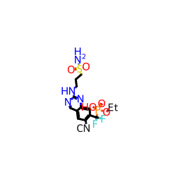 CCOP(=O)(O)C(F)(F)c1cc2nc(NCCCS(N)(=O)=O)ncc2cc1C#N